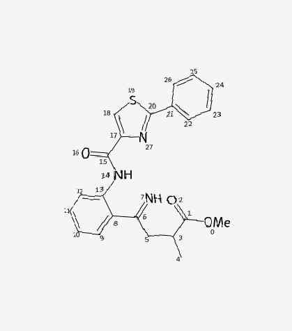 COC(=O)C(C)CC(=N)c1ccccc1NC(=O)c1csc(-c2ccccc2)n1